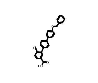 O=C(O)c1ccc(Cl)c(-c2ccc(-c3ccc(OCc4ccccc4)cc3)cc2)c1